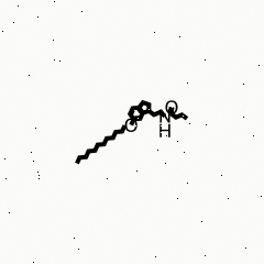 CCCCCCCCCCCCOc1ccc2c(c1)C(CCNC(=O)CCC)CC2